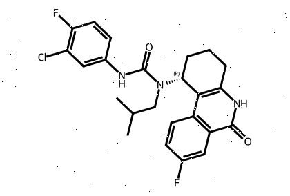 CC(C)CN(C(=O)Nc1ccc(F)c(Cl)c1)[C@@H]1CCCc2[nH]c(=O)c3cc(F)ccc3c21